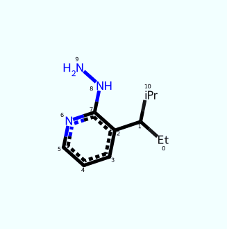 CCC(c1cccnc1NN)C(C)C